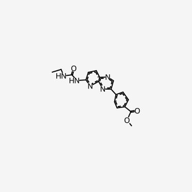 CCNC(=O)Nc1ccc2ncc(-c3ccc(C(=O)OC)cc3)nc2n1